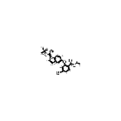 CCOC(=O)c1ccc(Br)cc1Oc1ccc2c(ccn2C(=O)OC(C)(C)C)c1